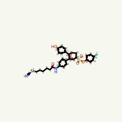 N#C[Se]CCCCCC(=O)Nc1ccc(C2=C(c3ccc(O)cc3)C3CC(S(=O)(=O)Oc4ccc(F)cc4)C2O3)cc1